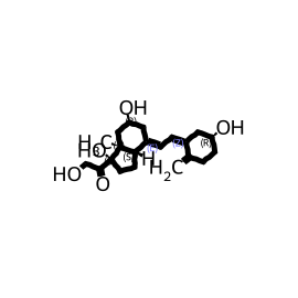 C=C1CC[C@@H](O)C/C1=C/C=C1\C[C@@H](O)C[C@@]2(C)[C@H]1CC[C@@]2(O)C(=O)CO